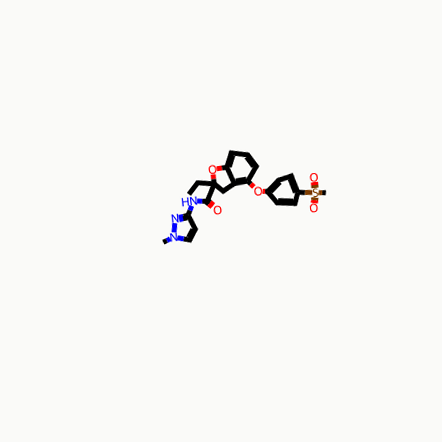 CCC1(C(=O)Nc2ccn(C)n2)Cc2c(Oc3ccc(S(C)(=O)=O)cc3)cccc2O1